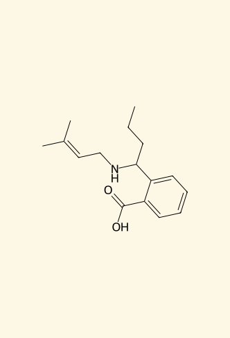 CCCC(NCC=C(C)C)c1ccccc1C(=O)O